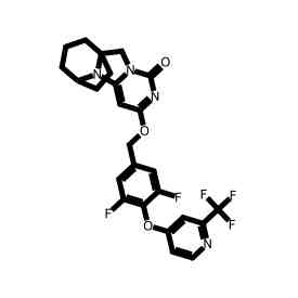 O=c1nc(OCc2cc(F)c(Oc3ccnc(C(F)(F)F)c3)c(F)c2)cc2n1CC13CCCC(CC1)N23